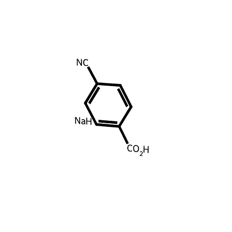 N#Cc1ccc(C(=O)O)cc1.[NaH]